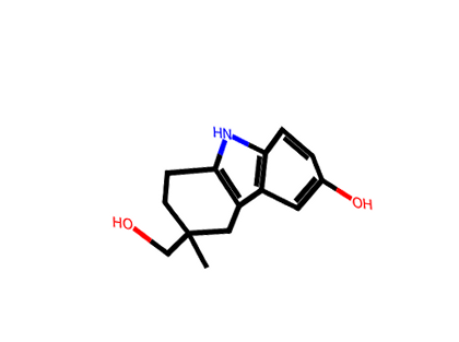 CC1(CO)CCc2[nH]c3ccc(O)cc3c2C1